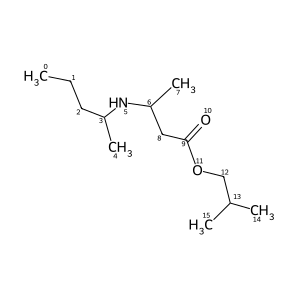 CCCC(C)NC(C)CC(=O)OCC(C)C